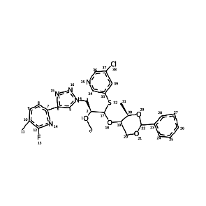 CO[C@@H](Cn1cc(-c2ccc(C)c(F)n2)nn1)C(OC1COC(c2ccccc2)O[C@@H]1C)Sc1cncc(Cl)c1